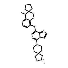 C[C@H]1CC2(CCN(c3ncc(Sc4ccnc5c4OCC4(CCCC4)N5C)c4nccn34)CC2)CO1